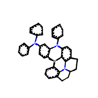 c1ccc(N(c2ccccc2)c2ccc3c(c2)N(c2ccccc2)c2ccc4c5c2B3c2cccc3c2N5C(CC3)CC4)cc1